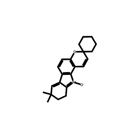 CC1(C)C=C2C(=[N+]([O-])c3c2ccc2c3C=CC3(CCCCC3)O2)CC1